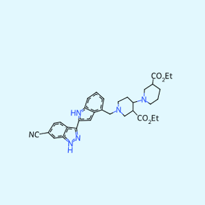 CCOC(=O)C1CCCN(C2CCN(Cc3cccc4[nH]c(-c5n[nH]c6cc(C#N)ccc56)cc34)CC2C(=O)OCC)C1